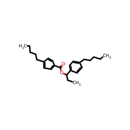 CCCCCc1ccc(C(=O)OC(CC)c2ccc(CCCCC)cc2)cc1